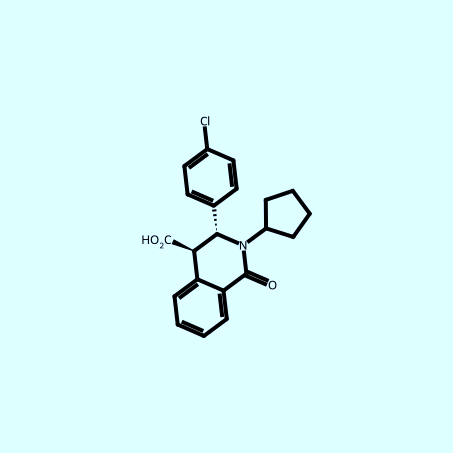 O=C(O)[C@@H]1c2ccccc2C(=O)N(C2CCCC2)[C@H]1c1ccc(Cl)cc1